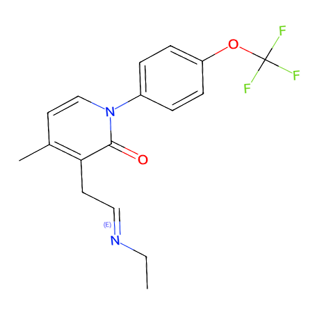 CC/N=C/Cc1c(C)ccn(-c2ccc(OC(F)(F)F)cc2)c1=O